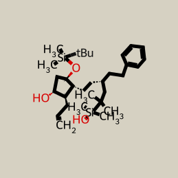 C=CC[C@@H]1[C@@H](CC[C@H](CCc2ccccc2)CC(C)(C)[Si](C)(C)O)[C@H](O[Si](C)(C)C(C)(C)C)C[C@H]1O